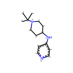 CC(C)(C)N1CCC(Nc2ccncc2)CC1